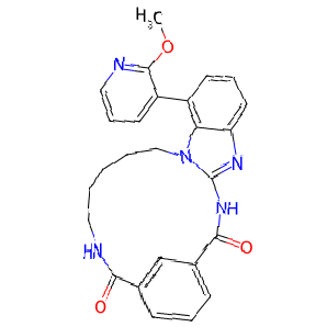 COc1ncccc1-c1cccc2nc3n(c12)CCCCCNC(=O)c1cccc(c1)C(=O)N3